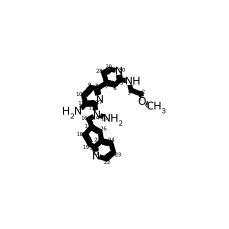 COCCNc1cc(-c2ccc(N)c(N(N)Cc3ccc4ncccc4c3)n2)ccn1